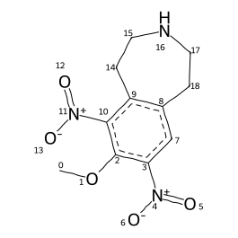 COc1c([N+](=O)[O-])cc2c(c1[N+](=O)[O-])CCNCC2